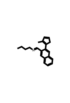 CCCCN=Cc1cc2ccccc2cc1C1=C(C)C=CC1